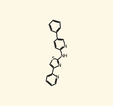 c1ccc(-c2ccc(Nc3nc(-c4ccccn4)cs3)nc2)cc1